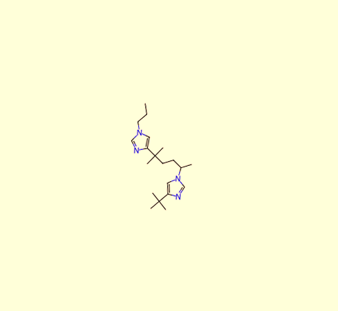 CCCn1cnc(C(C)(C)CCC(C)n2cnc(C(C)(C)C)c2)c1